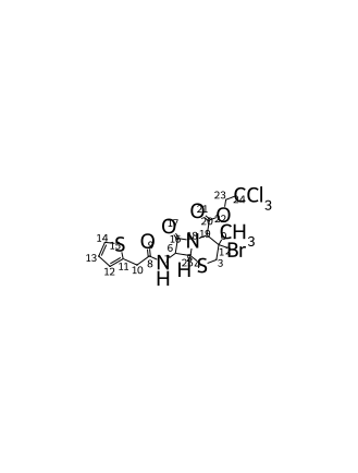 CC1(Br)CS[C@@H]2C(NC(=O)Cc3cccs3)C(=O)N2C1C(=O)OCC(Cl)(Cl)Cl